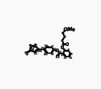 COCCCC(=O)Oc1ccccc1C(=O)Oc1ccc(-c2cc(=S)ss2)cc1